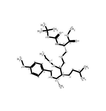 CCCO[C@@H](COC[C@H](NC(=O)OC(C)(C)C)C(=O)OC)[C@@H](CCC(C)C)[C@H](C)OCc1ccc(OC)cc1